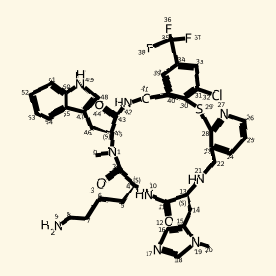 CN1C(=O)[C@H](CCCCN)NC(=O)[C@H](Cc2cncn2C)NCc2cccnc2Sc2c(Cl)cc(C(F)(F)F)cc2CNC(=O)[C@@H]1Cc1c[nH]c2ccccc12